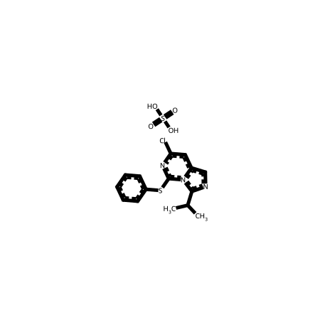 CC(C)c1ncc2cc(Cl)nc(Sc3ccccc3)n12.O=S(=O)(O)O